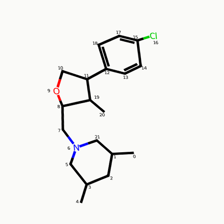 CC1CC(C)CN(CC2OCC(c3ccc(Cl)cc3)C2C)C1